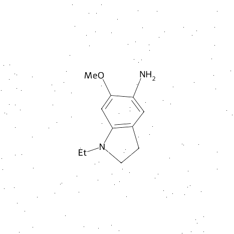 CCN1CCc2cc(N)c(OC)cc21